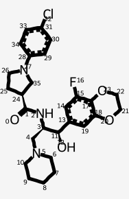 O=C(N[C@H](CN1CCCCC1)[C@H](O)c1cc(F)c2c(c1)OCCO2)[C@H]1CCN(c2ccc(Cl)cc2)C1